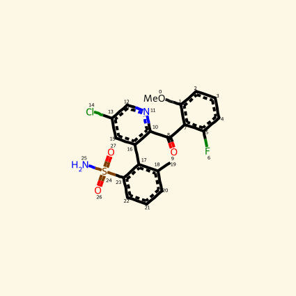 COc1cccc(F)c1C(=O)c1ncc(Cl)cc1-c1c(C)cccc1S(N)(=O)=O